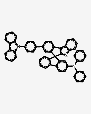 c1ccc(N(c2ccccc2)c2ccc3c(c2)C2(c4ccccc4-3)c3cc(-c4ccc(-n5c6ccccc6c6ccccc65)cc4)ccc3-c3c2sc2ccccc32)cc1